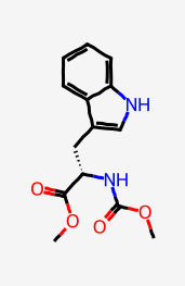 COC(=O)N[C@@H](Cc1c[nH]c2ccccc12)C(=O)OC